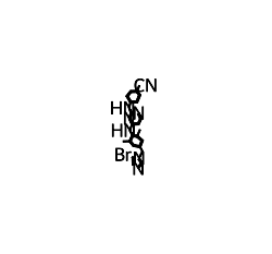 Cc1cc(Cn2cncc2Br)cc(C)c1Nc1ccnc(Nc2ccc(C#N)cc2)n1